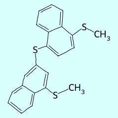 CSc1cc(Sc2ccc(SC)c3ccccc23)cc2ccccc12